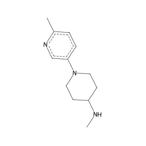 CNC1CCN(c2ccc(C)nc2)CC1